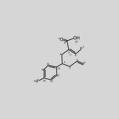 C=CCC(C/C(=C/F)C(=O)O)c1ccc(F)cc1